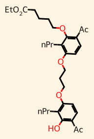 CCCc1c(OCCCOc2ccc(C(C)=O)c(OCCCCC(=O)OCC)c2CCC)ccc(C(C)=O)c1O